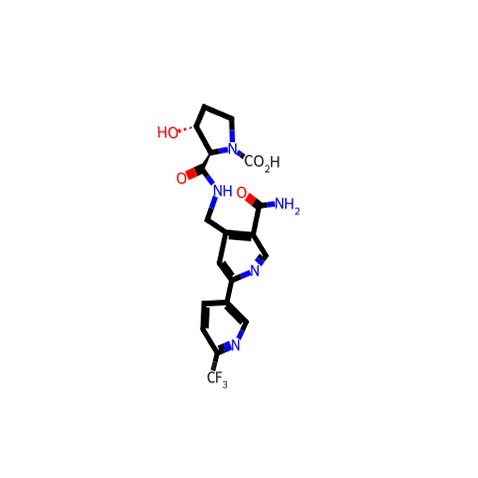 NC(=O)c1cnc(-c2ccc(C(F)(F)F)nc2)cc1CNC(=O)[C@H]1[C@H](O)CCN1C(=O)O